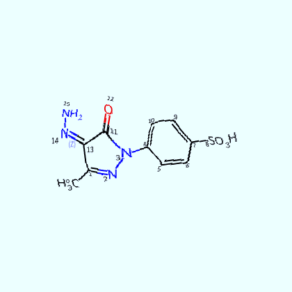 CC1=NN(c2ccc(S(=O)(=O)O)cc2)C(=O)/C1=N\N